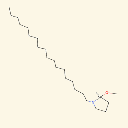 CCCCCCCCCCCCCCCCCCN1CCC[Si]1(C)OC